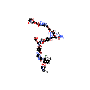 Cc1cccc2c(OC(=O)N3CCN(C)CC3)cc3c(c12)[C@H](CCl)CN3C(=O)c1cn2cc(NC(=O)c3ccc(OC(=O)N(CCOCCO)CCN(C)C(=O)OCc4ccc(NC(=O)[C@H](CCCNC(N)=O)NC(=O)[C@@H](NC(=O)OCCOCCN5C=C(CNC(=O)OCCOCCN6C(=O)C=CC6=O)NN5)C(C)C)cc4)cc3)ccc2n1